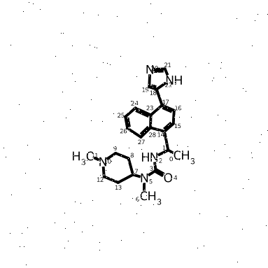 CC(NC(=O)N(C)C1CCN(C)CC1)c1ccc(-c2cnc[nH]2)c2ccccc12